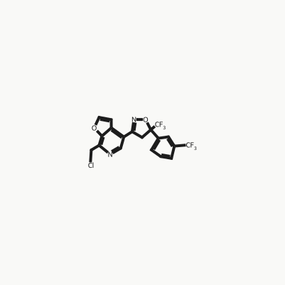 FC(F)(F)c1cccc(C2(C(F)(F)F)CC(c3cnc(CCl)c4occc34)=NO2)c1